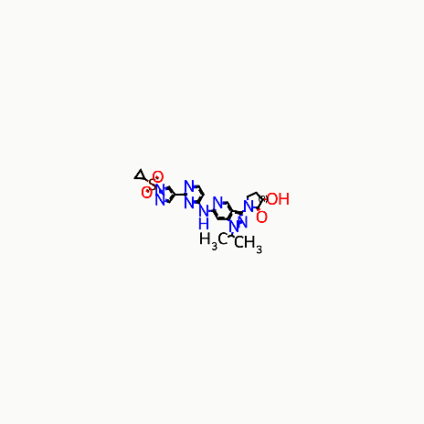 CC(C)n1nc(N2CC[C@@H](O)C2=O)c2cnc(Nc3ccnc(-c4cnn(S(=O)(=O)C5CC5)c4)n3)cc21